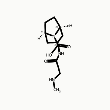 CNCC(=O)N[C@H]1C[C@H]2CC[C@@H](C1)N2C(=O)O